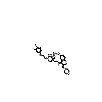 COc1ccc2ncc(CN3CCOCC3)c([C@@H](F)CCC3(CC(=O)O)CCN(CCNc4cc(F)c(F)c(F)c4)CC3)c2c1